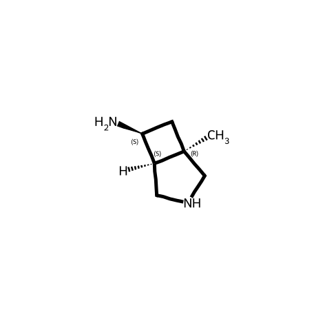 C[C@]12CNC[C@H]1[C@@H](N)C2